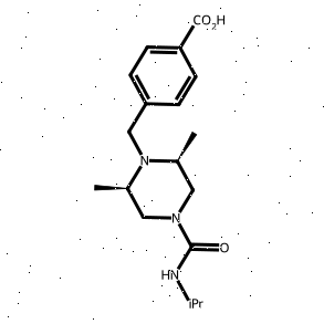 CC(C)NC(=O)N1C[C@@H](C)N(Cc2ccc(C(=O)O)cc2)[C@@H](C)C1